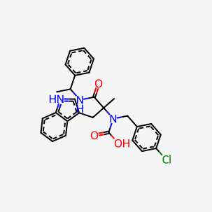 CC(NC(=O)C(C)(Cc1c[nH]c2ccccc12)N(Cc1ccc(Cl)cc1)C(=O)O)c1ccccc1